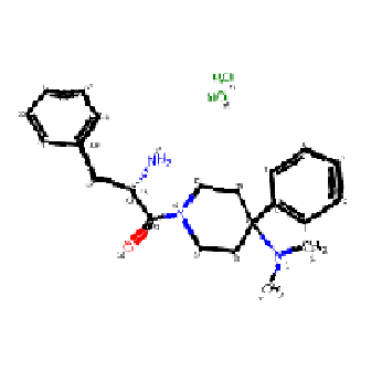 CN(C)C1(c2ccccc2)CCN(C(=O)[C@@H](N)Cc2ccccc2)CC1.Cl.Cl